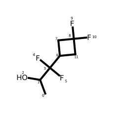 CC(O)C(F)(F)C1CC(F)(F)C1